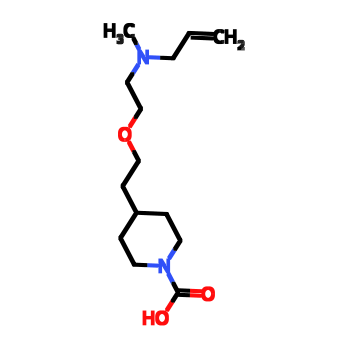 C=CCN(C)CCOCCC1CCN(C(=O)O)CC1